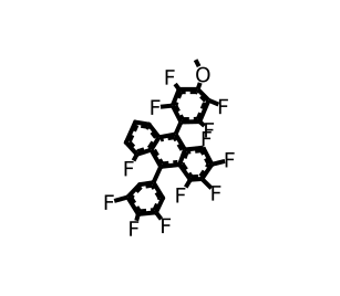 COc1c(F)c(F)c(-c2c3cccc(F)c3c(-c3cc(F)c(F)c(F)c3)c3c(F)c(F)c(F)c(F)c23)c(F)c1F